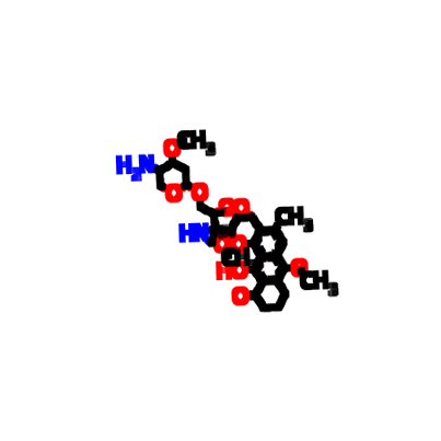 COc1c2c(c(O)c3c4c(c(C)cc13)C1OC3(COC5CC(OC)C(N)CO5)OC1[C@@](OC)(O4)[C@@]31CN1)C(=O)CCC2